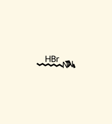 Br.C=CN1C=CN(CCCCCCCCCC)C1